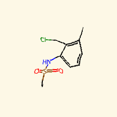 Cc1cccc(NS(C)(=O)=O)c1CCl